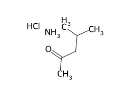 CC(=O)CC(C)C.Cl.N